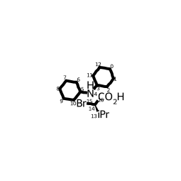 C1CCC(NC2CCCCC2)CC1.CC(C)[C@@H](Br)C(=O)O